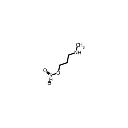 CNCCCO[SH](=O)=O